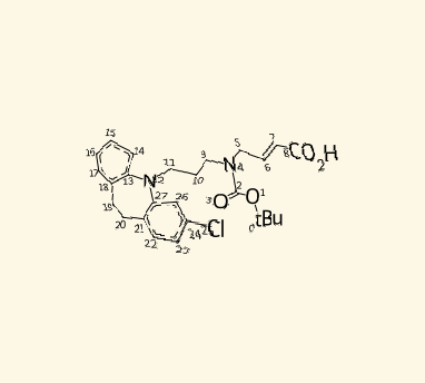 CC(C)(C)OC(=O)N(C/C=C/C(=O)O)CCCN1c2ccccc2CCc2ccc(Cl)cc21